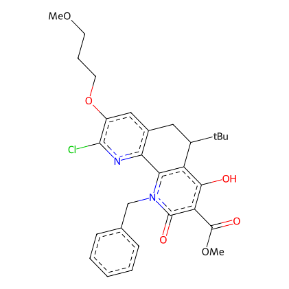 COCCCOc1cc2c(nc1Cl)-c1c(c(O)c(C(=O)OC)c(=O)n1Cc1ccccc1)C(C(C)(C)C)C2